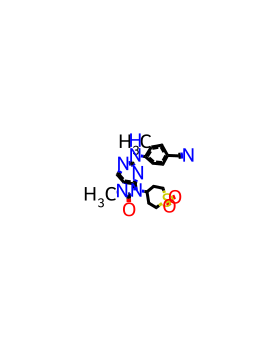 Cc1cc(C#N)ccc1Nc1ncc2c(n1)n(C1CCS(=O)(=O)CC1)c(=O)n2C